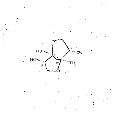 C[C@]12OC[C@H](O)[C@@]1(C)OC[C@@H]2O